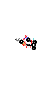 Cc1ccc(S(=O)(=O)OC[C@@H](O)CC[C@@H]2c3ccccc3Cc3ccc(F)cc3[C@H]2OC(=O)c2ccc([N+](=O)[O-])cc2)cc1